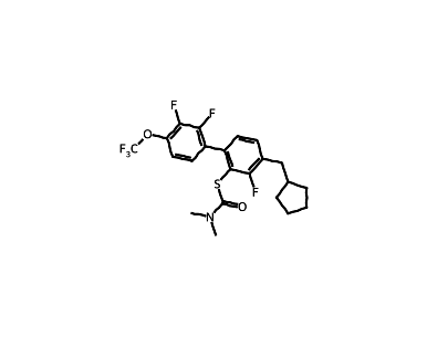 CN(C)C(=O)Sc1c(-c2ccc(OC(F)(F)F)c(F)c2F)ccc(CC2CCCC2)c1F